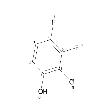 Oc1ccc(F)c(F)c1Cl